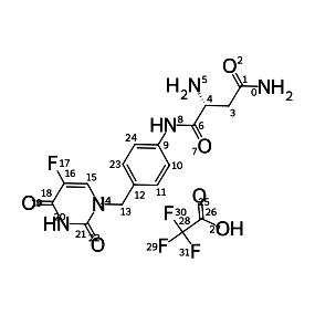 NC(=O)C[C@@H](N)C(=O)Nc1ccc(Cn2cc(F)c(=O)[nH]c2=O)cc1.O=C(O)C(F)(F)F